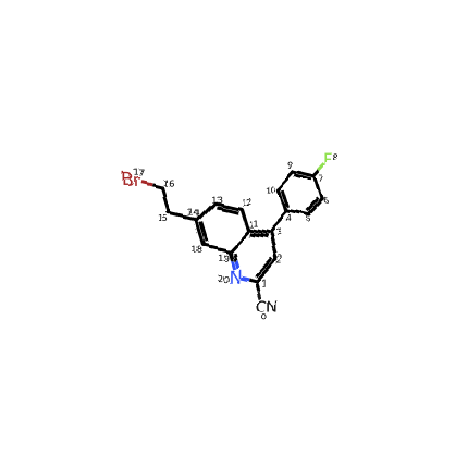 N#Cc1cc(-c2ccc(F)cc2)c2ccc(CCBr)cc2n1